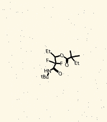 CCC(OC(=O)C(C)(C)CC)C(F)(F)C(=O)NC(C)(C)C